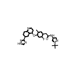 Cc1cc(CC(=O)Nc2cnn(C(C)(C)C)c2)c(F)cc1Oc1ccnc2ccc(-c3nc[nH]n3)cc12